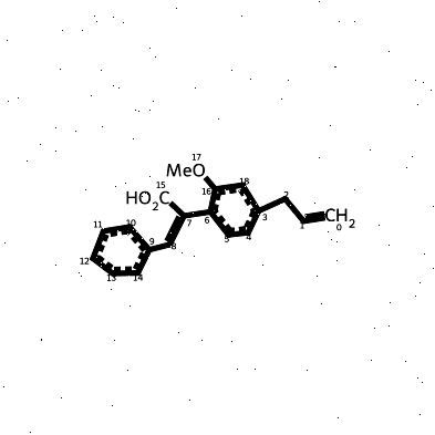 C=CCc1ccc(C(=Cc2ccccc2)C(=O)O)c(OC)c1